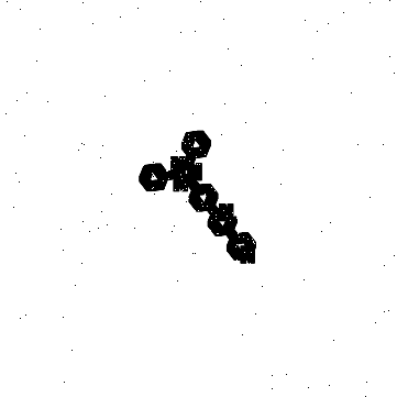 c1ccc(-c2nc(-c3ccccc3)nc(-c3ccc(-c4ccc(-c5ccncc5)cn4)cc3)n2)cc1